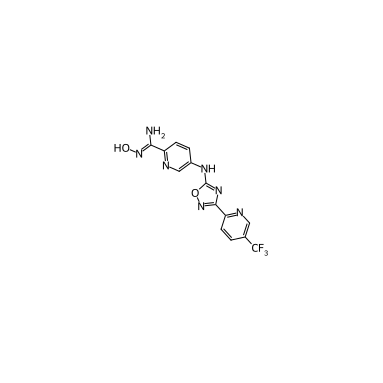 N/C(=N\O)c1ccc(Nc2nc(-c3ccc(C(F)(F)F)cn3)no2)cn1